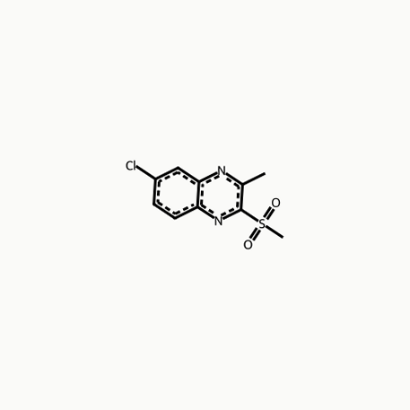 Cc1nc2cc(Cl)ccc2nc1S(C)(=O)=O